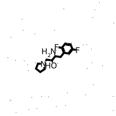 N[C@H](Cc1cc(F)ccc1F)[C@@H](O)CN1CCCC1